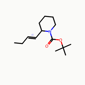 CC/C=C/C1CCCCN1C(=O)OC(C)(C)C